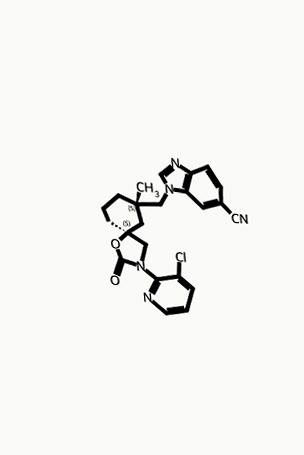 C[C@]1(Cn2cnc3ccc(C#N)cc32)CCC[C@@]2(CN(c3ncccc3Cl)C(=O)O2)C1